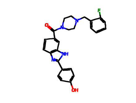 O=C(c1ccc2nc(-c3ccc(O)cc3)[nH]c2c1)N1CCN(Cc2ccccc2F)CC1